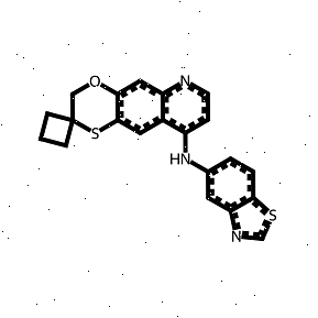 c1cc(Nc2ccc3scnc3c2)c2cc3c(cc2n1)OCC1(CCC1)S3